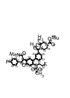 CNC(=O)c1c(-c2ccc(F)cc2)oc2cc(N(CCF)S(C)(=O)=O)c(-c3cccc(C(=O)N4CCN(C(=O)OC(C)(C)C)CC4(C)C)c3)cc12